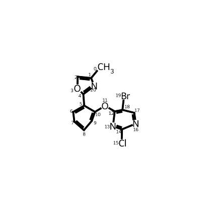 Cc1coc(-c2ccccc2Oc2nc(Cl)ncc2Br)n1